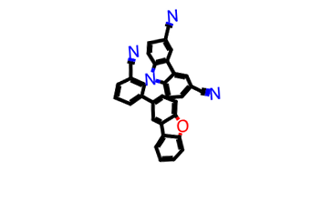 N#Cc1ccc2c(c1)c1cc(C#N)ccc1n2-c1c(C#N)cccc1-c1ccc2oc3ccccc3c2c1